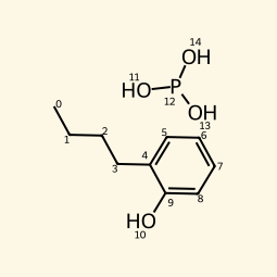 CCCCc1ccccc1O.OP(O)O